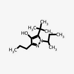 CCCc1nn(C(C)CC)c(C(C)(C)C)c1O